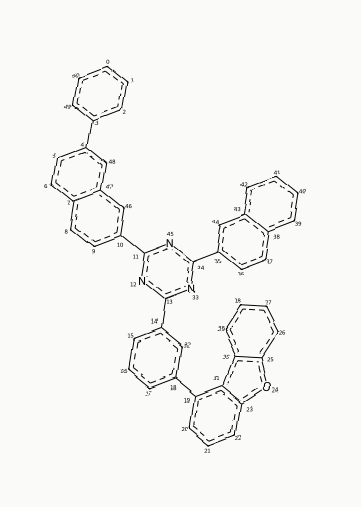 c1ccc(-c2ccc3ccc(-c4nc(-c5cccc(-c6cccc7oc8ccccc8c67)c5)nc(-c5ccc6ccccc6c5)n4)cc3c2)cc1